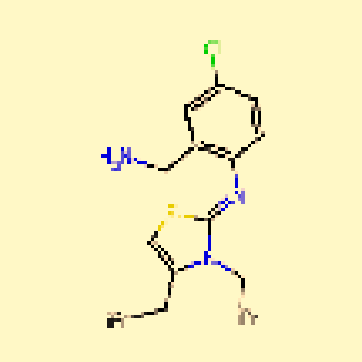 CC(C)Cc1csc(=Nc2ccc(Cl)cc2CN)n1CC(C)C